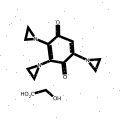 O=C(O)CO.O=C1C=C(N2CC2)C(=O)C(N2CC2)=C1N1CC1